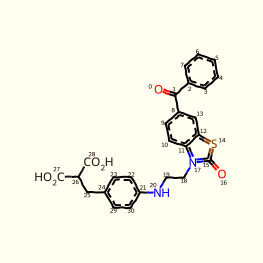 O=C(c1ccccc1)c1ccc2c(c1)sc(=O)n2CCNc1ccc(CC(C(=O)O)C(=O)O)cc1